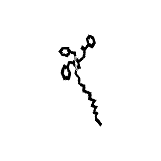 CCCCCCCCCCCCCCn1cc(CC(C)c2ccccc2)[n+](Cc2ccccc2)c1Cc1ccccc1